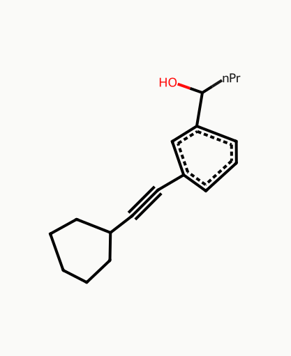 CCCC(O)c1cccc(C#CC2CCCCC2)c1